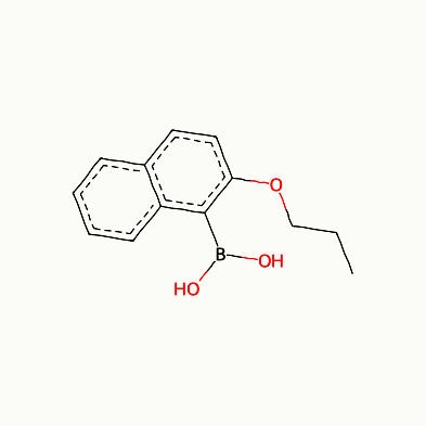 CCCOc1ccc2ccccc2c1B(O)O